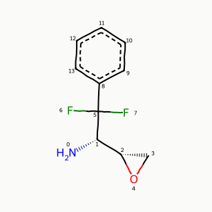 N[C@@H]([C@@H]1CO1)C(F)(F)c1ccccc1